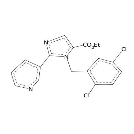 CCOC(=O)c1cnc(-c2cccnc2)n1Cc1cc(Cl)ccc1Cl